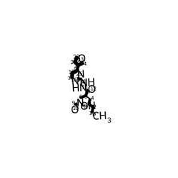 CCCCC[C@@H](CN(O)C=O)C(=O)NNc1nccc(-c2ccoc2)n1